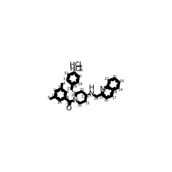 Cc1cc(C)cc(C(=O)N2CC[C@H](NCc3ccc4ccccc4n3)C[C@H]2Cc2ccccc2)c1.Cl.Cl